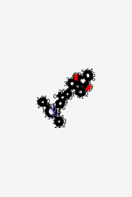 CC1(C)c2cc(C3=N/C(c4ccccc4)=C=CC/C(c4ccccc4)=N\3)ccc2-c2ccc(-c3cccc4c3-c3ccccc3C43c4ccccc4-c4ccccc4-c4ccccc43)cc21